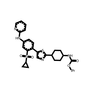 CC(C)OC(=O)NC1CCC(c2ncc(-c3ccc(Nc4ccccn4)cc3S(=O)(=O)C3CC3)s2)CC1